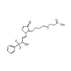 O=C(O)CCSCCCCN1C(=O)CC[C@@H]1/C=C/C(O)C(F)(F)c1ccccc1